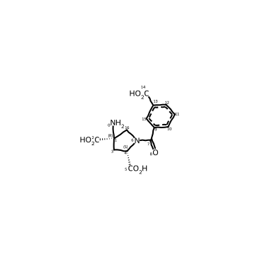 N[C@]1(C(=O)O)C[C@@H](C(=O)O)N(C(=O)c2cccc(C(=O)O)c2)C1